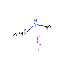 CC(C)NC(C)C.[I-].[I-].[Pt+2]